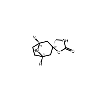 O=C1NC[C@]2(C[C@H]3CC[C@@H](C2)N3)O1